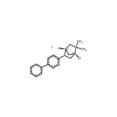 C[N+]1(C)C[C@@H]2C[C@H]1CN2c1ccc(-c2ccccc2)nn1.[I-]